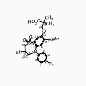 CCC1(CC)CN(c2ccc(F)cc2)c2cc(SC)c(OCC(C)(C)C(=O)O)cc2S(=O)(=O)C1